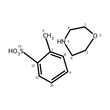 C1COCCN1.Cc1ccccc1S(=O)(=O)O